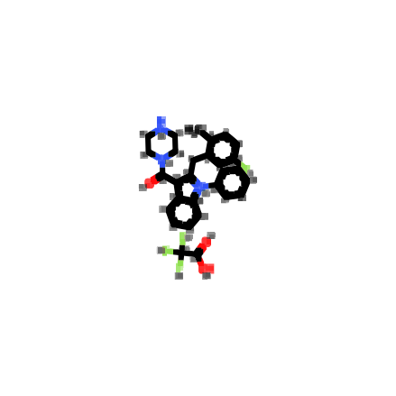 Cc1ccc(F)cc1Cc1c(C(=O)N2CCNCC2)c2ccccc2n1-c1ccccc1.O=C(O)C(F)(F)F